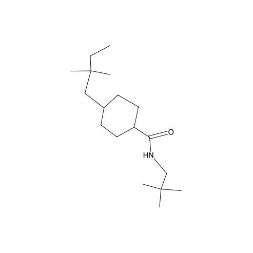 CCC(C)(C)CC1CCC(C(=O)NCC(C)(C)C)CC1